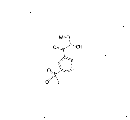 COC(C)C(=O)c1cccc(S(=O)(=O)Cl)c1